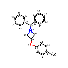 CC(=O)c1ccc(OC2CN(C(c3ccccc3)c3ccccc3)C2)cc1